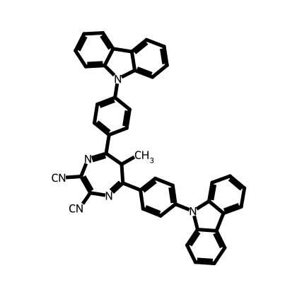 [C-]#[N+]C1=C([N+]#[C-])N=C(c2ccc(-n3c4ccccc4c4ccccc43)cc2)C(C)C(c2ccc(-n3c4ccccc4c4ccccc43)cc2)=N1